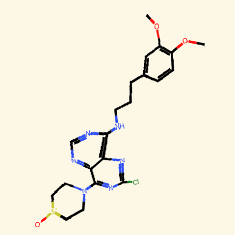 COc1ccc(CCCNc2ncnc3c(N4CC[S+]([O-])CC4)nc(Cl)nc23)cc1OC